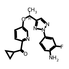 C[C@@H](Oc1ccc(C(=O)C2CC2)nc1)c1cnn(-c2ccc(N)c(F)c2)n1